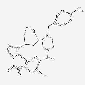 Cc1cc2[nH]c(=O)c3cnn(C4CCOCC4)c3c2cc1C(=O)N1CCN(Cc2ccc(C(F)(F)F)nc2)CC1